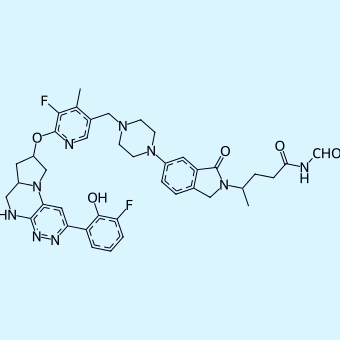 Cc1c(CN2CCN(c3ccc4c(c3)C(=O)N(C(C)CCC(=O)NC=O)C4)CC2)cnc(OC2CC3CNc4nnc(-c5cccc(F)c5O)cc4N3C2)c1F